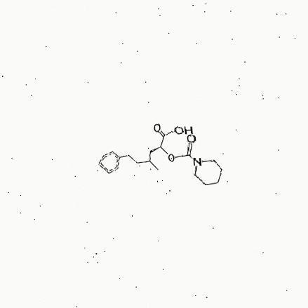 CC(CCc1ccccc1)C[C@H](OC(=O)N1CCCCC1)C(=O)O